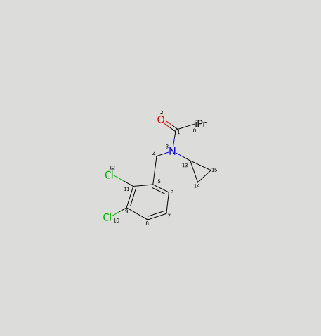 CC(C)C(=O)N(Cc1cccc(Cl)c1Cl)C1CC1